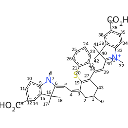 CC1CC(=CC=C2N(C)c3ccc(C(=O)O)cc3C2(C)C)C(Sc2ccccc2)=C(C=CC2=[N+](C)c3ccc(C(=O)O)cc3C2(C)C)C1